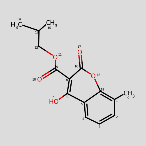 Cc1cccc2c(O)c(C(=O)OCC(C)C)c(=O)oc12